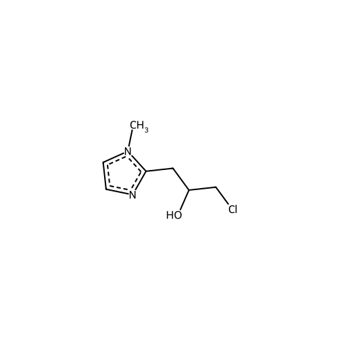 Cn1ccnc1CC(O)CCl